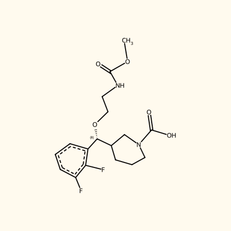 COC(=O)NCCO[C@@H](c1cccc(F)c1F)C1CCCN(C(=O)O)C1